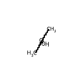 CCCCCCCCCCOC(O)CCCCCCCCC